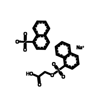 O=C(O)COS(=O)(=O)c1cccc2ccccc12.O=S(=O)([O-])c1cccc2ccccc12.[Na+]